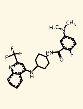 CN(C)c1ccc(F)c(C(=O)NC2CCC(Nc3cc(C(F)(F)F)nc4ccccc34)CC2)c1